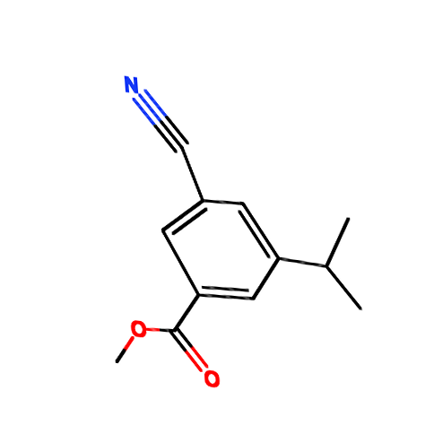 COC(=O)c1cc(C#N)cc(C(C)C)c1